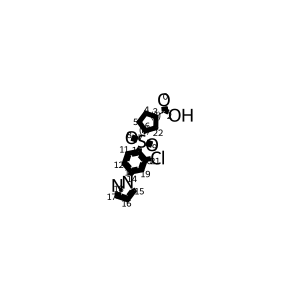 O=C(O)[C@H]1CC[C@@H](S(=O)(=O)c2ccc(-n3cccn3)cc2Cl)C1